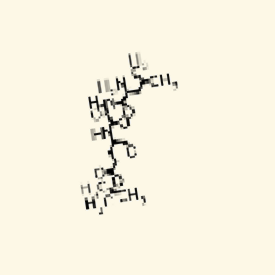 CC(C)C[C@@H](N)C(=O)N[C@@H](C)C(=O)NC(C=O)CCC(=O)OC(C)(C)C